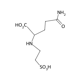 NC(=O)CCC(NCCS(=O)(=O)O)C(=O)O